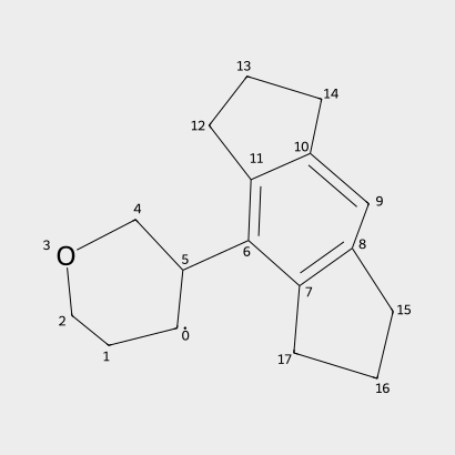 [CH]1CCOCC1c1c2c(cc3c1CCC3)CCC2